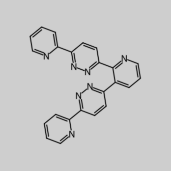 c1ccc(-c2ccc(-c3cccnc3-c3ccc(-c4ccccn4)nn3)nn2)nc1